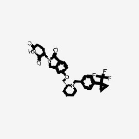 O=C1CCC(N2Cc3cc(OC[C@H]4CCCCN4Cc4ccc(C5(C(F)(F)F)CC5)cc4)ccc3C2=O)C(=O)N1